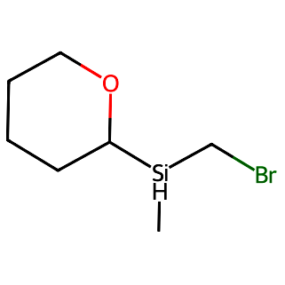 C[SiH](CBr)C1CCCCO1